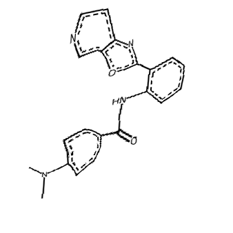 CN(C)c1ccc(C(=O)Nc2ccccc2-c2nc3ccncc3o2)cc1